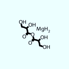 O=C(OC(=O)C(O)CO)C(O)CO.[MgH2]